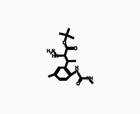 CNC(=O)Nc1ccc(C)cc1C(C)C(NN)C(=O)OC(C)(C)C